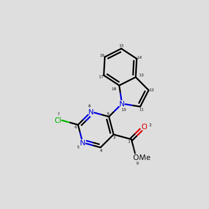 COC(=O)c1cnc(Cl)nc1-n1ccc2ccccc21